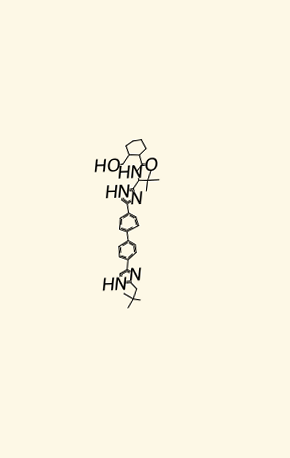 CC(C)(C)Cc1nc(-c2ccc(-c3ccc(-c4c[nH]c(C(NC(=O)C5CCCCC5CO)C(C)(C)C)n4)cc3)cc2)c[nH]1